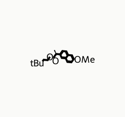 COc1ccc2cc([C@H](C)C(=O)OCCC(C)(C)C)ccc2c1